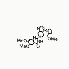 COCC1CCCN1c1ncnc2c1CCN(c1nc3cc(OC)c(OC)cc3c(=O)[nH]1)C2